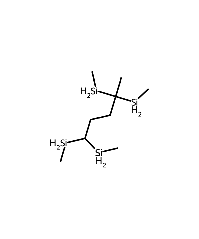 C[SiH2]C(CCC(C)([SiH2]C)[SiH2]C)[SiH2]C